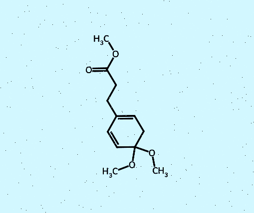 COC(=O)CCC1=CCC(OC)(OC)C=C1